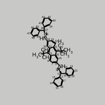 CC(C)(C)c1c2ccc(NN=C(c3ccccc3)c3ccccc3)cc2c(C(C)(C)C)c2ccc(NN=C(c3ccccc3)c3ccccc3)cc12